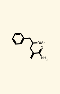 C=C(CC(Cc1ccccc1)OC)C(N)=O